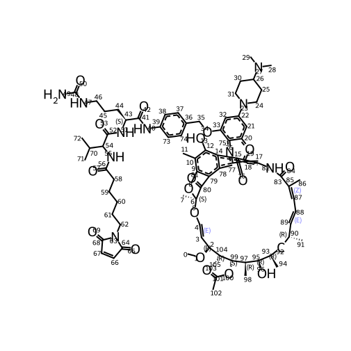 CO[C@H]1/C=C/O[C@@]2(C)Oc3c(C)c(O)c4c(=O)c(c5oc6cc(N7CCC(N(C)C)CC7)cc(OCc7ccc(NC(=O)[C@H](CCCNC(N)=O)NC(=O)C(NC(=O)CCCCCN8C(=O)C=CC8=O)C(C)C)cc7)c6nc-5c4c3C2=O)NC(=O)/C(C)=C\C=C\[C@H](C)C[C@@H](C)[C@@H](O)[C@@H](C)[C@H](OC(C)=O)[C@@H]1C